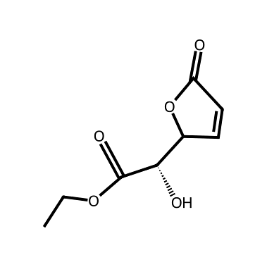 CCOC(=O)[C@@H](O)C1C=CC(=O)O1